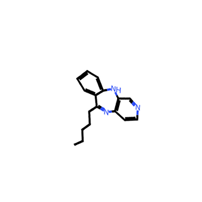 CCCCCC1=Nc2ccncc2Nc2ccccc21